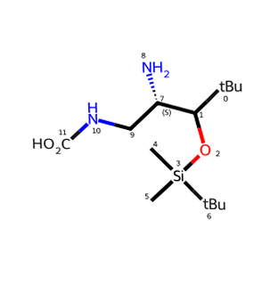 CC(C)(C)C(O[Si](C)(C)C(C)(C)C)[C@@H](N)CNC(=O)O